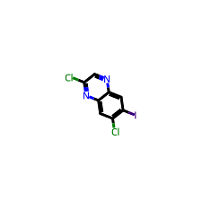 Clc1cnc2cc(I)c(Cl)cc2n1